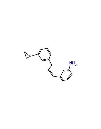 Nc1cccc(/C=C\Cc2cccc(C3CC3)c2)c1